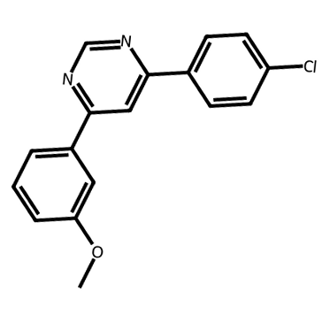 COc1cccc(-c2cc(-c3ccc(Cl)cc3)ncn2)c1